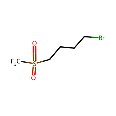 O=S(=O)(CCCCBr)C(F)(F)F